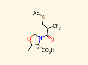 CC(=O)SCC(C(=O)N1COC(C)[C@H]1C(=O)O)C(F)(F)F